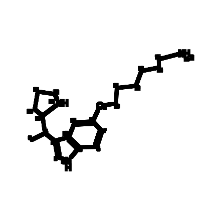 CC(c1c[nH]c2ccc(OCCCCCCN)cc12)C1CCCN1